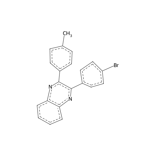 Cc1ccc(-c2nc3ccccc3nc2-c2ccc(Br)cc2)cc1